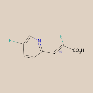 O=C(O)/C(F)=C/c1ccc(F)cn1